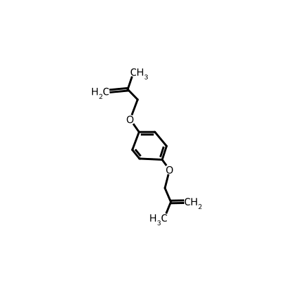 C=C(C)COc1ccc(OCC(=C)C)cc1